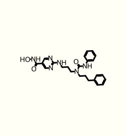 O=C(NO)c1cnc(NCCCN(CCCc2ccccc2)C(=O)Nc2ccccc2)nc1